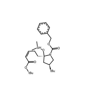 C[SiH](C)O[C@]1(CC/C=C\C(=O)OC(C)(C)C)C[C@H](C(C)(C)C)CN1C(=O)OCc1ccccc1